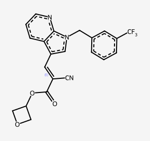 N#C/C(=C\c1cn(Cc2cccc(C(F)(F)F)c2)c2ncccc12)C(=O)OC1COC1